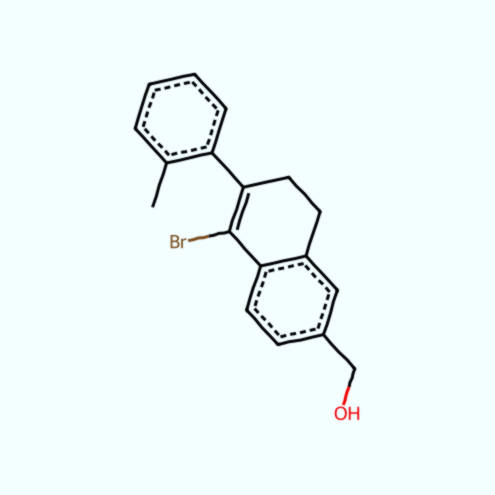 Cc1ccccc1C1=C(Br)c2ccc(CO)cc2CC1